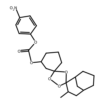 CC1CC2CCCC(C2)C12OOC1(CCCC(OC(=O)Oc3ccc([N+](=O)[O-])cc3)C1)O2